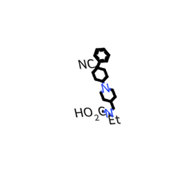 CCN(CC1CCN(C2CCC(C#N)(c3ccccc3)CC2)CC1)C(=O)O